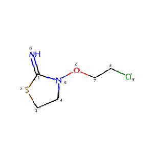 N=C1SCCN1OCCCl